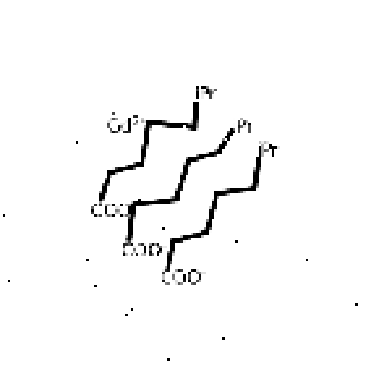 CC(C)CCCCC(=O)[O-].CC(C)CCCCC(=O)[O-].CC(C)CCCCC(=O)[O-].[Gd+3]